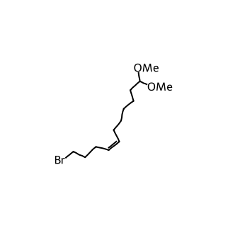 COC(CCCCC/C=C\CCCBr)OC